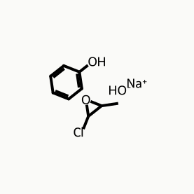 CC1OC1Cl.Oc1ccccc1.[Na+].[OH-]